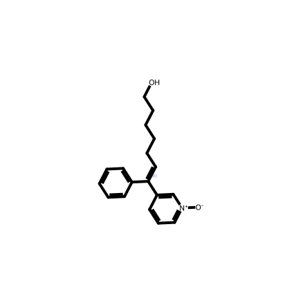 [O-][n+]1cccc(/C(=C/CCCCCO)c2ccccc2)c1